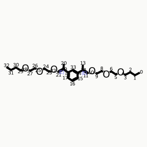 CCCCOCCOCCO/C=C(\C)c1cccc(/C(C)=C/OCCOCCOCCCC)c1